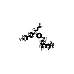 COc1ncc(-c2cnc(N(C(=O)CCC(F)F)C3CCC(Nc4ncc(C(F)(F)F)c(-c5cncc(S(C)(=O)=O)c5)n4)CC3)cn2)cn1